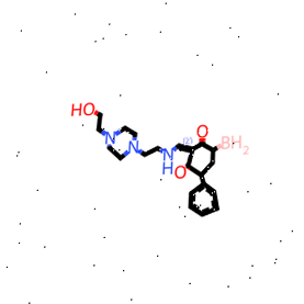 BC1CC(c2ccccc2)C(=O)/C(=C\NCCN2CCN(CCO)CC2)C1=O